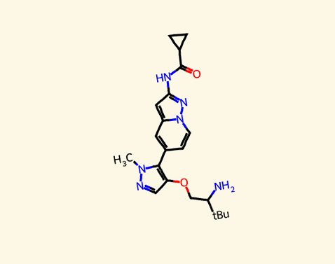 Cn1ncc(OCC(N)C(C)(C)C)c1-c1ccn2nc(NC(=O)C3CC3)cc2c1